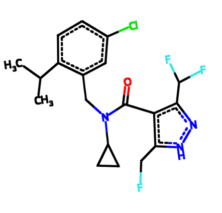 CC(C)c1ccc(Cl)cc1CN(C(=O)c1c(C(F)F)n[nH]c1CF)C1CC1